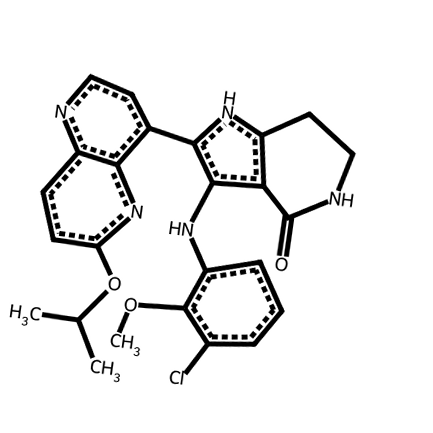 COc1c(Cl)cccc1Nc1c(-c2ccnc3ccc(OC(C)C)nc23)[nH]c2c1C(=O)NCC2